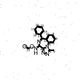 Cc1nnc2n1-c1ccccc1C(c1ccccc1)=NC2NOC=O